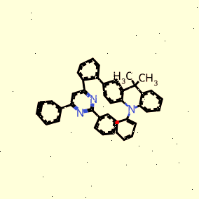 CC1(C)c2ccccc2N(C2=CC=CCC2)c2ccc(-c3ccccc3-c3cc(-c4cc#ccc4)nc(-c4ccccc4)n3)cc21